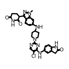 Cn1nc(C2CCC(=O)NC2=O)c2ccc(NC3CCN(c4ncc(Cl)c(Nc5ccc6c(c5)CC(=O)N6)n4)CC3)cc21